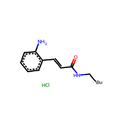 CCC(C)CNC(=O)/C=C/c1ccccc1N.Cl